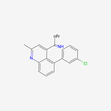 CCCC(=N)c1cc(C)nc2cccc(-c3cccc(Cl)c3)c12